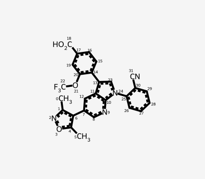 Cc1noc(C)c1-c1cnc2c(c1)c(-c1ccc(C(=O)O)cc1OC(F)(F)F)cn2-c1ccccc1C#N